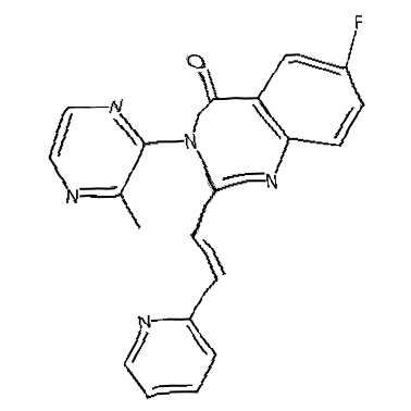 Cc1nccnc1-n1c(C=Cc2ccccn2)nc2ccc(F)cc2c1=O